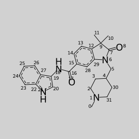 CN1CCC(CN2C(=O)C(C)(C)c3ccc(C(=O)Nc4c[nH]c5ccccc45)cc32)CC1